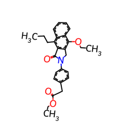 CCCc1c2c(c(OCC)c3ccccc13)CN(c1ccc(CC(=O)OCC)cc1)C2=O